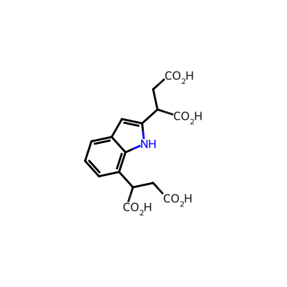 O=C(O)CC(C(=O)O)c1cc2cccc(C(CC(=O)O)C(=O)O)c2[nH]1